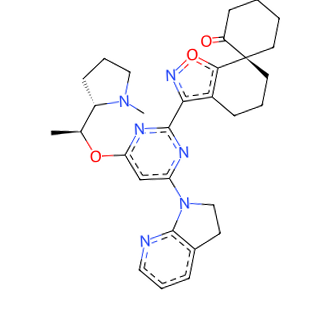 C[C@H](Oc1cc(N2CCc3cccnc32)nc(-c2noc3c2CCC[C@@]32CCCCC2=O)n1)[C@@H]1CCCN1C